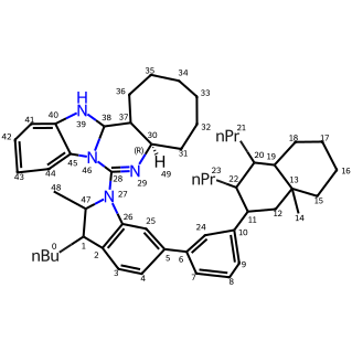 CCCCC1c2ccc(-c3cccc(C4CC5(C)CCCCC5C(CCC)C4CCC)c3)cc2N(C2=N[C@@H]3CCCCCCC3C3Nc4ccccc4N23)C1C